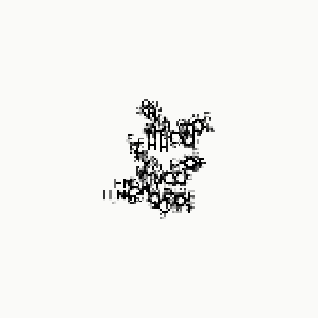 CC(C)N(C(=O)c1nc[nH]c1C(N)=O)[C@H]1CC[C@@]2(CCCN(c3cc(F)c(F)cc3Cl)C2=O)CC1.O=C(N[C@H]1CC[C@]2(CCCN(c3cc(F)c(F)cc3Cl)C2=O)CC1)c1[nH]cnc1C(=O)N1CC(OC(F)F)C1.O=C(N[C@H]1CC[C@]2(CCCN(c3cc(F)c(F)cc3Cl)C2=O)CC1)c1[nH]cnc1C(=O)N1CCOCC1